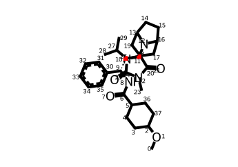 COC1CCC(C(=O)N[C@@H](CCN2C3CCC2CC2(C3)C(=O)N(C)C(=O)N2C(C)C)c2ccccc2)CC1